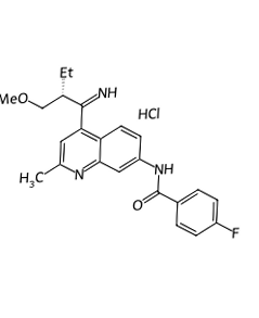 CC[C@@H](COC)C(=N)c1cc(C)nc2cc(NC(=O)c3ccc(F)cc3)ccc12.Cl